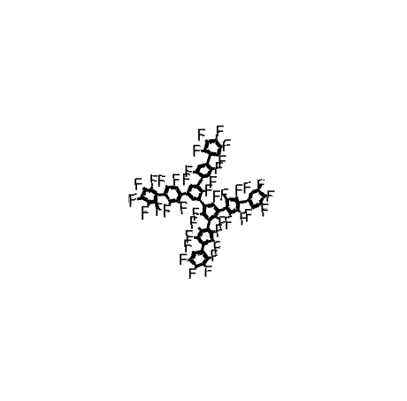 Fc1cc(-c2c(F)c(F)c(F)c(F)c2F)c(F)c(F)c1-c1c(F)c(-c2c(F)c(F)c(-c3c(F)c(F)c(F)c(F)c3F)c(F)c2F)cc(-c2c(F)c(-c3c(F)c(F)c(-c4c(F)c(F)c(F)c(F)c4F)c(F)c3F)c(F)c(-c3c(F)c(F)c(-c4c(F)c(F)c(F)c(F)c4F)c(F)c3F)c2F)c1F